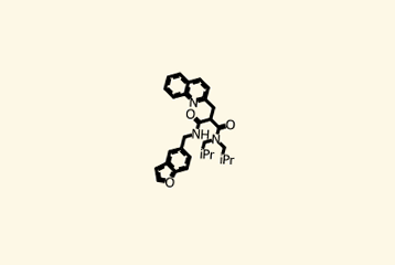 CC(C)CN(CC(C)C)C(=O)C(Cc1ccc2ccccc2n1)C(=O)NCc1ccc2occc2c1